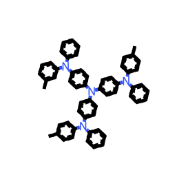 Cc1ccc(N(c2ccccc2)c2ccc(N(c3ccc(N(c4ccccc4)c4ccc(C)cc4)cc3)c3ccc(N(c4ccccc4)c4cccc(C)c4)cc3)cc2)cc1